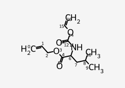 C=CCOC(=O)C(CC(C)C)NC(=O)OC=C